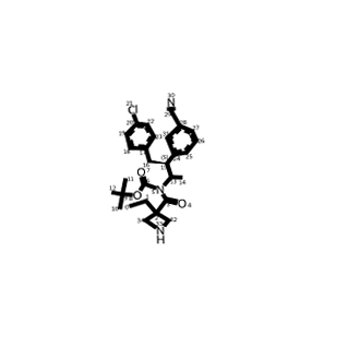 CCC1(C(=O)N(C(=O)OC(C)(C)C)C(C)[C@@H](Cc2ccc(Cl)cc2)c2cccc(C#N)c2)CNC1